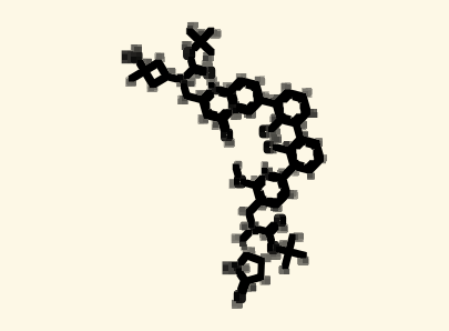 COc1nc(-c2cccc(-c3cccc(-c4ccc5nc(CN(C(=O)OC(C)(C)C)C6CC(C)(O)C6)cc(=O)n5c4)c3Cl)c2Cl)ccc1CN(C[C@@H]1CCC(=O)N1)C(=O)OC(C)(C)C